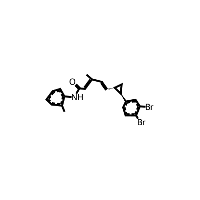 CC(C=C[C@@H]1C[C@H]1c1ccc(Br)c(Br)c1)=CC(=O)Nc1ccccc1C